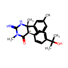 CN1C(=N)N[C@](C)(c2cccc(C#N)c2)[C@@H](c2ccc(C(C)(C)O)cc2)C1=O